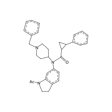 CC(=O)N1CCc2ccc(N(C(=O)C3CC3c3ccccc3)C3CCN(Cc4ccccc4)CC3)cc21